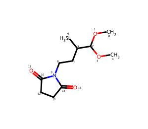 COC(OC)C([SiH3])CCN1C(=O)CCC1=O